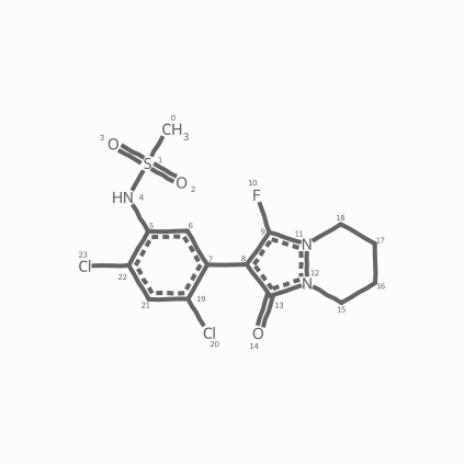 CS(=O)(=O)Nc1cc(-c2c(F)n3n(c2=O)CCCC3)c(Cl)cc1Cl